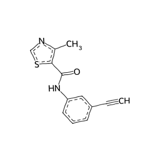 C#Cc1cccc(NC(=O)c2scnc2C)c1